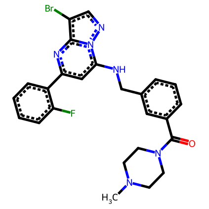 CN1CCN(C(=O)c2cccc(CNc3cc(-c4ccccc4F)nc4c(Br)cnn34)c2)CC1